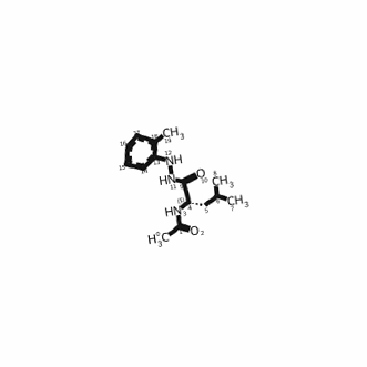 CC(=O)N[C@@H](CC(C)C)C(=O)NNc1ccccc1C